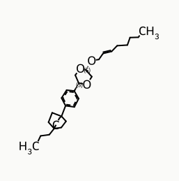 CCCCCC=CCO[C@@H]1CO[C@@H](c2ccc(C34CCC(CCC)(CC3)CC4)cc2)CO1